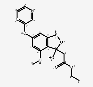 CCOC(=O)CC1(O)OBc2cc(Oc3cnccn3)cc(OC)c21